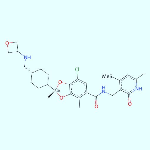 CSc1cc(C)[nH]c(=O)c1CNC(=O)c1cc(Cl)c2c(c1C)O[C@](C)([C@H]1CC[C@@H](CNC3COC3)CC1)O2